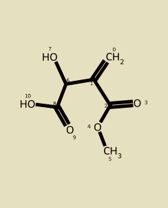 C=C(C(=O)OC)C(O)C(=O)O